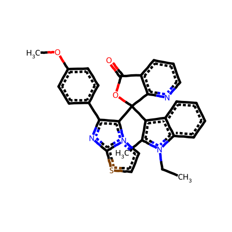 CCn1c(C)c(C2(c3c(-c4ccc(OC)cc4)nc4sccn34)OC(=O)c3cccnc32)c2ccccc21